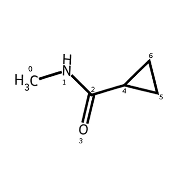 CNC(=O)C1CC1